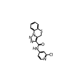 O=C(Nc1ccnc(Cl)c1)c1nnn2c1CSc1ccccc1-2